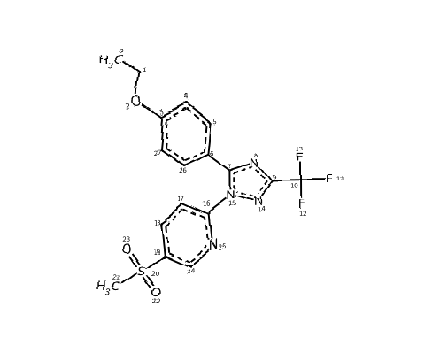 CCOc1ccc(-c2nc(C(F)(F)F)nn2-c2ccc(S(C)(=O)=O)cn2)cc1